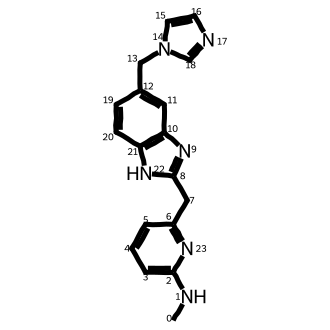 CNc1cccc(Cc2nc3cc(Cn4ccnc4)ccc3[nH]2)n1